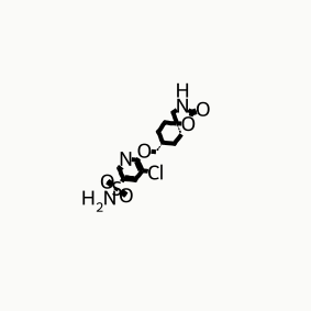 NS(=O)(=O)c1cnc(OC[C@H]2CC[C@]3(CC2)CNC(=O)O3)c(Cl)c1